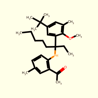 CCCCCC(CC)(Pc1ccc(C)cc1C(C)=O)c1cc(C(C)(C)C)cc(C)c1OC